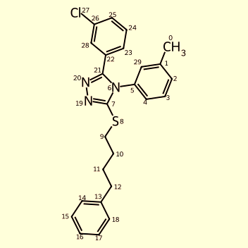 Cc1cccc(-n2c(SCCCCc3ccccc3)nnc2-c2cccc(Cl)c2)c1